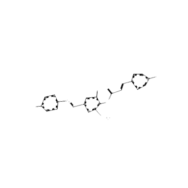 COc1cc(/C=N/c2ccc(O)cc2)cc(Cl)c1OC(=O)C=Cc1ccc(Cl)cc1